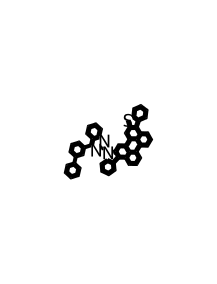 c1ccc(-c2cccc(-c3nc(-n4c5ccccc5c5c6cccc7c8cccc9c%10c(cc(c(cc54)c76)c89)sc4ccccc4%10)nc4ccccc34)c2)cc1